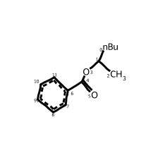 CCCCC(C)OC(=O)c1cc[c]cc1